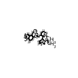 CC(C)n1nccc1-c1ncccc1COc1ccc2sncc2c1C=O